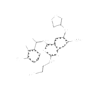 COc1cc2nc(NCCO)nc(NC(C)c3cccc(C(F)(F)F)c3C)c2cc1OC1CCOC1